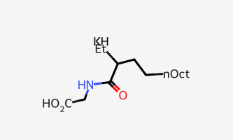 CCCCCCCCCCC(CC)C(=O)NCC(=O)O.[KH]